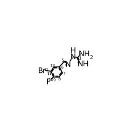 N=C(N)NN=Cc1ccc(F)c(Br)c1